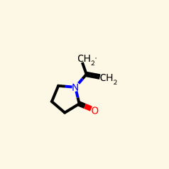 [CH2]C(=C)N1CCCC1=O